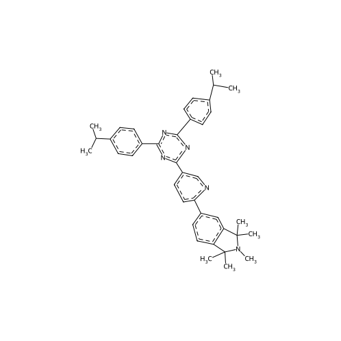 CC(C)c1ccc(-c2nc(-c3ccc(C(C)C)cc3)nc(-c3ccc(-c4ccc5c(c4)C(C)(C)N(C)C5(C)C)nc3)n2)cc1